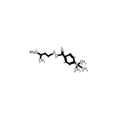 COC(C)C[CH]OOC(=O)c1ccc([Si](C)(C)C)cc1